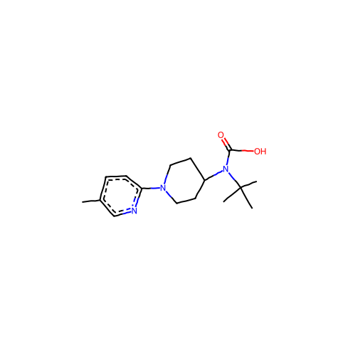 Cc1ccc(N2CCC(N(C(=O)O)C(C)(C)C)CC2)nc1